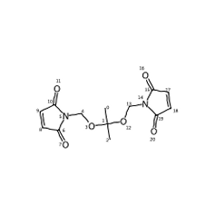 CC(C)(OCN1C(=O)C=CC1=O)OCN1C(=O)C=CC1=O